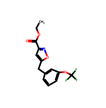 CCOC(=O)c1cc(Cc2cccc(OC(F)(F)F)c2)on1